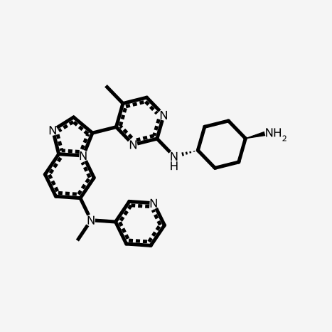 Cc1cnc(N[C@H]2CC[C@H](N)CC2)nc1-c1cnc2ccc(N(C)c3cccnc3)cn12